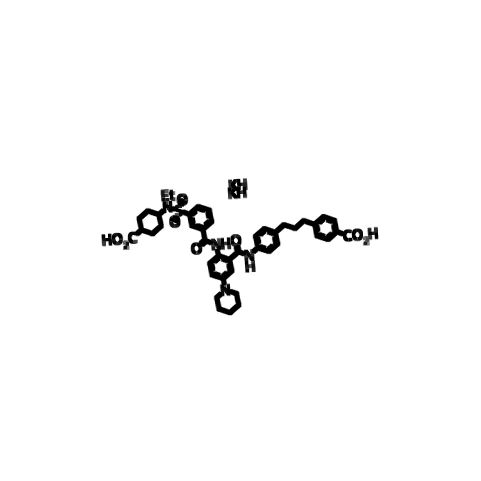 CCN(C1CCC(C(=O)O)CC1)S(=O)(=O)c1cccc(C(=O)Nc2ccc(N3CCCCC3)cc2C(=O)Nc2ccc(CCCc3ccc(C(=O)O)cc3)cc2)c1.[KH].[KH]